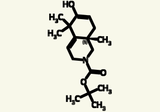 CC(C)(C)OC(=O)N1CC=C2C(C)(C)C(O)=CC[C@]2(C)C1